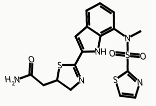 CN(c1cccc2cc(C3=NCC(CC(N)=O)S3)[nH]c12)S(=O)(=O)c1nccs1